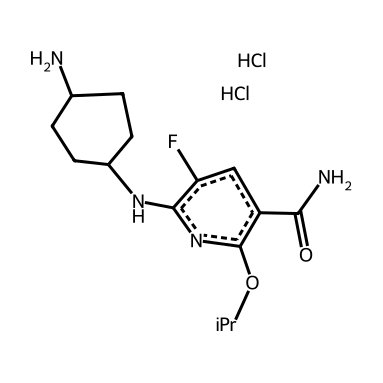 CC(C)Oc1nc(NC2CCC(N)CC2)c(F)cc1C(N)=O.Cl.Cl